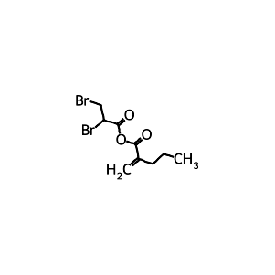 C=C(CCC)C(=O)OC(=O)C(Br)CBr